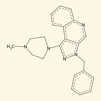 CN1CCN(c2nn(Cc3ccccc3)c3cnc4ccccc4c23)CC1